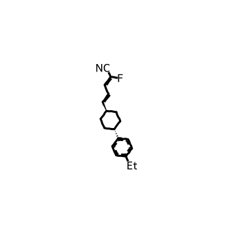 CCc1ccc([C@H]2CC[C@H](C=CC=C(F)C#N)CC2)cc1